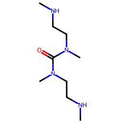 CNCCN(C)C(=O)N(C)CCNC